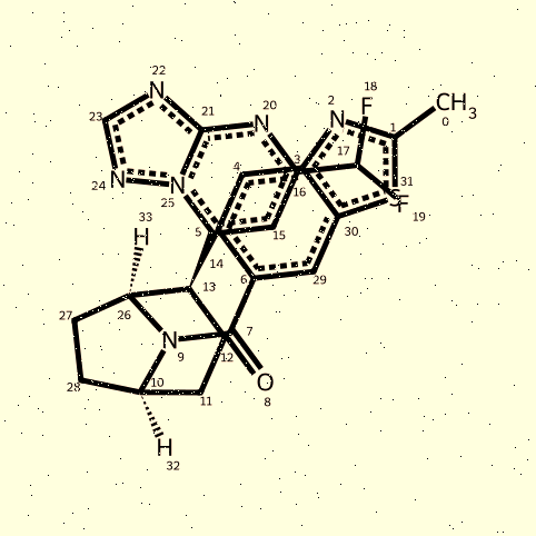 Cc1nc2ccc(C(=O)N3[C@H]4CC[C@H](c5cc(C(F)F)nc6ncnn56)[C@@H]3CC4)cc2s1